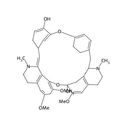 COC1=CC2=C3C(=C(OC)C1)OC1(C)CC4=C(C=C1OC)CCN(C)C4CC1=CC=C(CC1)OC1=CC(/C=C/3N(C)CC2)CC=C1O